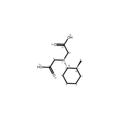 C[C@H]1CCCC[C@@H]1N(CC(=O)O)CC(=O)O